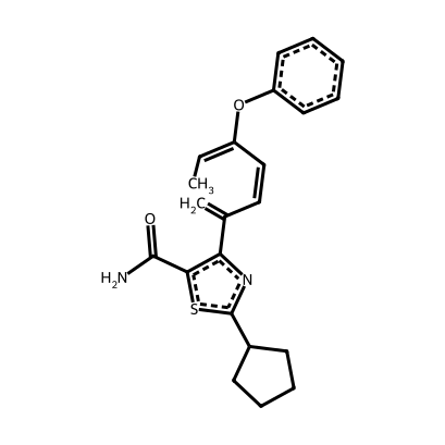 C=C(/C=C\C(=C/C)Oc1ccccc1)c1nc(C2CCCC2)sc1C(N)=O